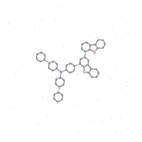 c1ccc(-c2ccc(N(c3ccc(-c4ccccc4)cc3)c3ccc(-c4cc(-c5cccc6c5oc5ccccc56)cc5c4sc4ccccc45)cc3)cc2)cc1